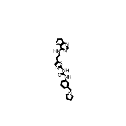 O=C(Nc1cccc(CN2CCCC2)c1)Nc1ncc(CCNc2ncnc3c2SCC3)s1